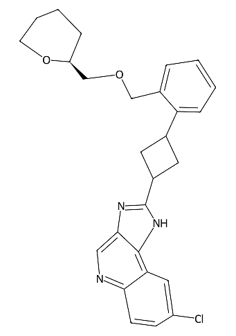 Clc1ccc2ncc3nc(C4CC(c5ccccc5COC[C@@H]5CCCCO5)C4)[nH]c3c2c1